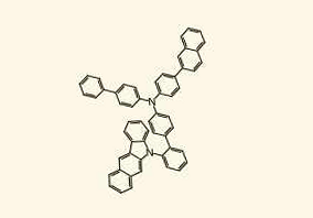 c1ccc(-c2ccc(N(c3ccc(-c4ccc5ccccc5c4)cc3)c3ccc(-c4ccccc4-n4c5ccccc5c5cc6ccccc6cc54)cc3)cc2)cc1